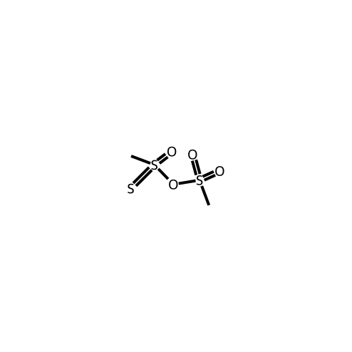 CS(=O)(=O)OS(C)(=O)=S